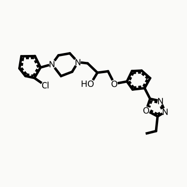 CCc1nnc(-c2cccc(OCC(O)CN3CCN(c4ccccc4Cl)CC3)c2)o1